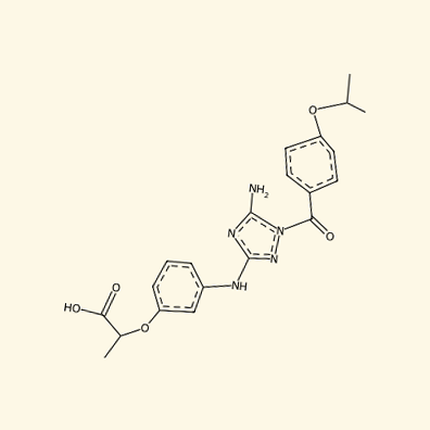 CC(C)Oc1ccc(C(=O)n2nc(Nc3cccc(OC(C)C(=O)O)c3)nc2N)cc1